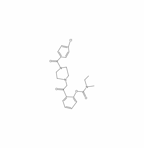 CCN(C)C(=O)Oc1ccccc1C(=O)CN1CCN(C(=O)c2ccc(Cl)cc2)CC1